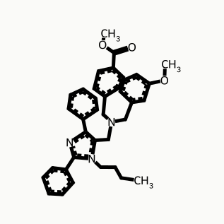 CCCCn1c(-c2ccccc2)nc(-c2ccccc2)c1CN(Cc1ccc(C(=O)OC)cc1)Cc1cccc(OC)c1